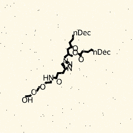 CCCCCCCCCCCCCC(=O)CC(COC(=O)CCCCCCCCCCCCC)Cn1cc(CCC(=O)NCCOCCOCCO)nn1